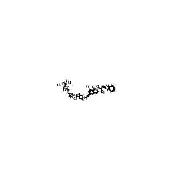 CC1c2ccc(C#CCN3CCC(C(=O)Nc4ncc(SCc5ncc(C(C)(C)C)o5)s4)CC3)cc2CCN1C(=O)/C(C#N)=C/c1nc2c(s1)CCCC2